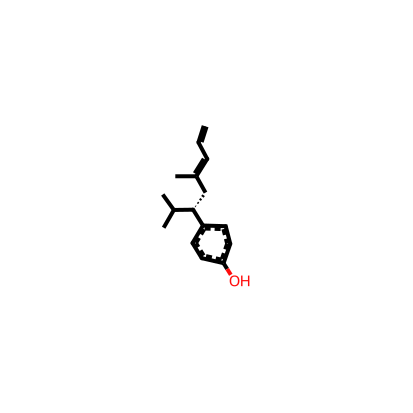 C=C/C=C(\C)C[C@H](c1ccc(O)cc1)C(C)C